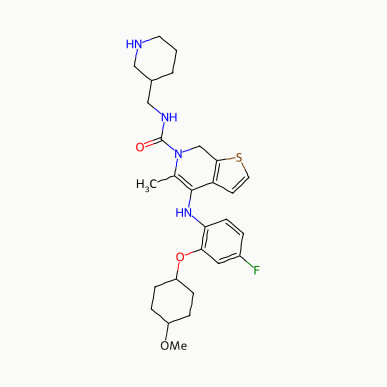 COC1CCC(Oc2cc(F)ccc2NC2=C(C)N(C(=O)NCC3CCCNC3)Cc3sccc32)CC1